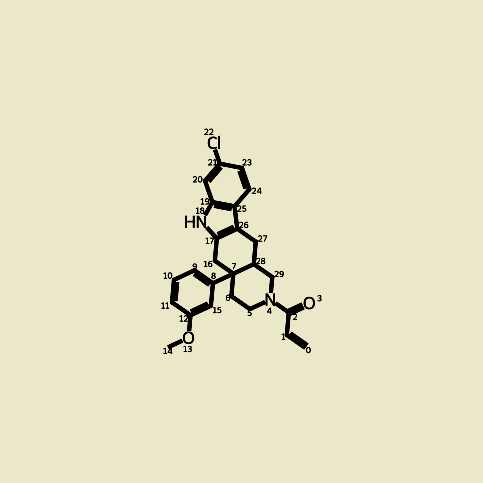 C=CC(=O)N1CCC2(c3cccc(OC)c3)Cc3[nH]c4cc(Cl)ccc4c3CC2C1